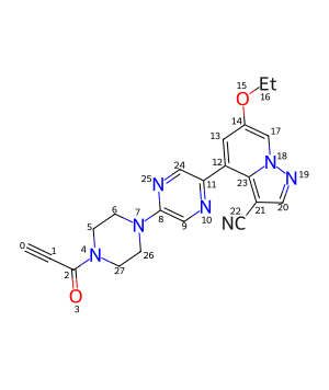 C#CC(=O)N1CCN(c2cnc(-c3cc(OCC)cn4ncc(C#N)c34)cn2)CC1